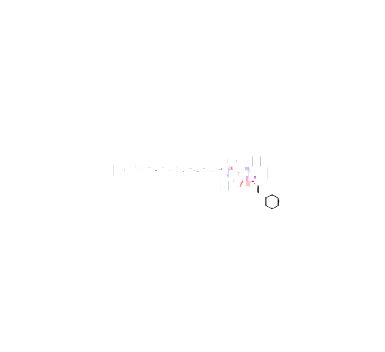 CCCCCCCCCCCCCCNC(=O)[C@H](O)[C@H](C)NC(=O)/C=C/c1ccccc1